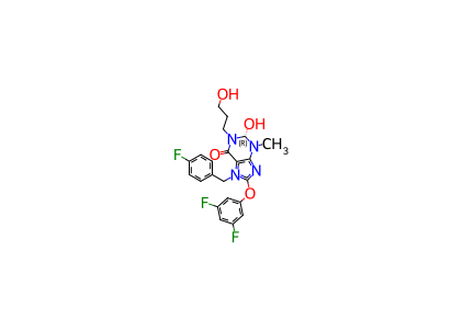 CN1c2nc(Oc3cc(F)cc(F)c3)n(Cc3ccc(F)cc3)c2C(=O)N(CCCO)[C@@H]1O